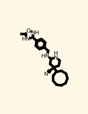 CC1NC(c2ccc(CNC3CC(C#N)(C4CCCCCCCC4)CCN3)cc2)NO1